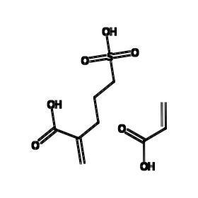 C=C(CCCS(=O)(=O)O)C(=O)O.C=CC(=O)O